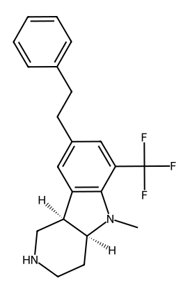 CN1c2c(cc(CCc3ccccc3)cc2C(F)(F)F)[C@@H]2CNCC[C@@H]21